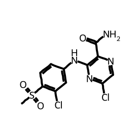 CS(=O)(=O)c1ccc(Nc2nc(Cl)cnc2C(N)=O)cc1Cl